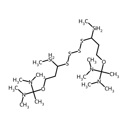 C[SiH2]C(CCOC(C)(N(C)C)N(C)C)SSSSC(CCOC(C)(N(C)C)N(C)C)[SiH2]C